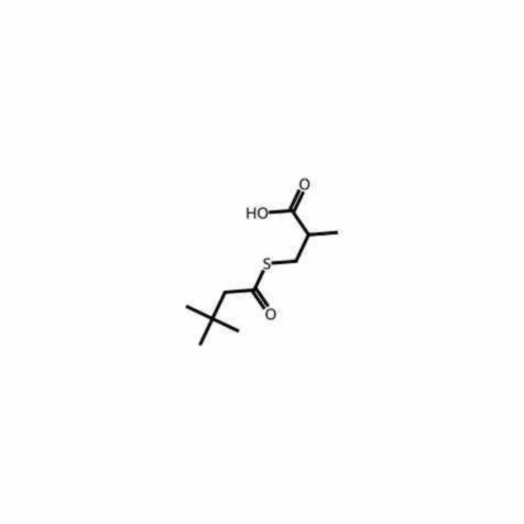 CC(CSC(=O)CC(C)(C)C)C(=O)O